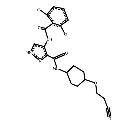 N#CCCOC1CCC(NC(=O)c2n[nH]cc2NC(=O)c2c(Cl)cccc2Cl)CC1